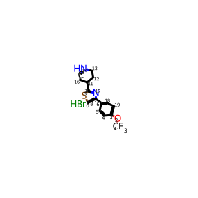 Br.FC(F)(F)Oc1ccc(-c2csc(C3CCNCC3)n2)cc1